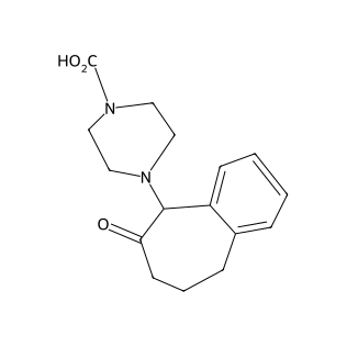 O=C1CCCc2ccccc2C1N1CCN(C(=O)O)CC1